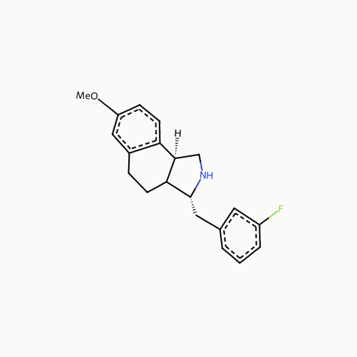 COc1ccc2c(c1)CCC1[C@@H]2CN[C@@H]1Cc1cccc(F)c1